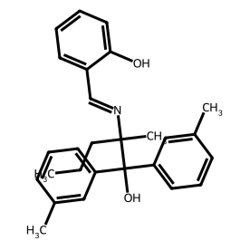 CCCC(C)(N=Cc1ccccc1O)C(O)(c1cccc(C)c1)c1cccc(C)c1